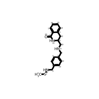 CSNCc1ccc(CNCC2Cc3ccccc3C(=O)N2)cc1